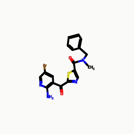 CN(Cc1ccccc1)C(=O)c1cnc(C(=O)c2cc(Br)cnc2N)s1